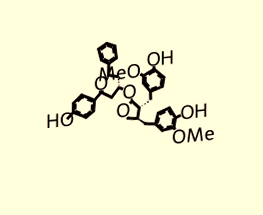 COc1cc(C[C@H]2CO[C@@H](O[C@@H](CCc3ccccc3)CC(=O)c3ccc(O)cc3)[C@@H]2Cc2ccc(O)c(OC)c2)ccc1O